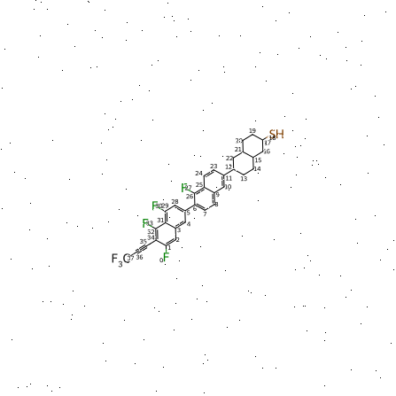 Fc1cc2cc(-c3ccc4cc(C5CCC6CC(S)CCC6C5)ccc4c3F)cc(F)c2c(F)c1C#CC(F)(F)F